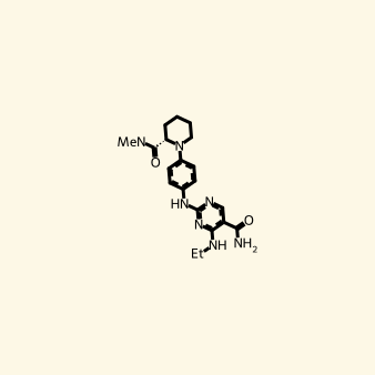 CCNc1nc(Nc2ccc(N3CCCC[C@H]3C(=O)NC)cc2)ncc1C(N)=O